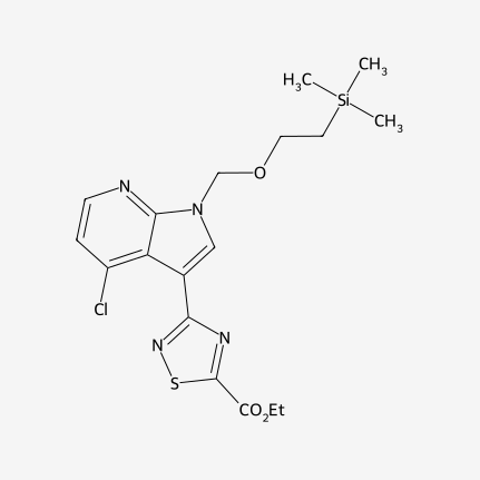 CCOC(=O)c1nc(-c2cn(COCC[Si](C)(C)C)c3nccc(Cl)c23)ns1